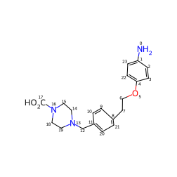 Nc1ccc(OCCc2ccc(CN3CCN(C(=O)O)CC3)cc2)cc1